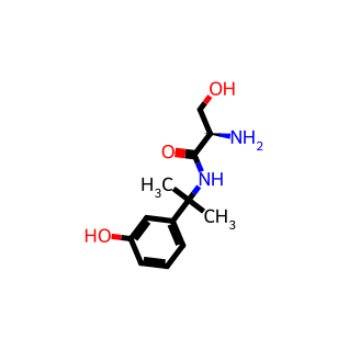 CC(C)(NC(=O)[C@H](N)CO)c1cccc(O)c1